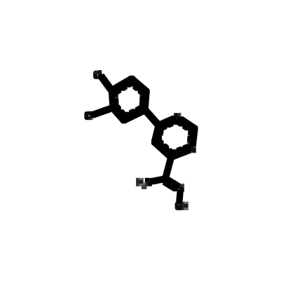 NC(=NO)c1cc(-c2ccc(Cl)c(Cl)c2)ncn1